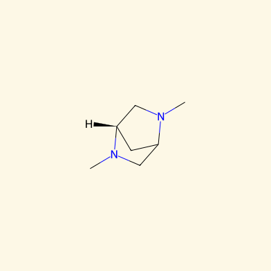 CN1C[C@@H]2CC1CN2C